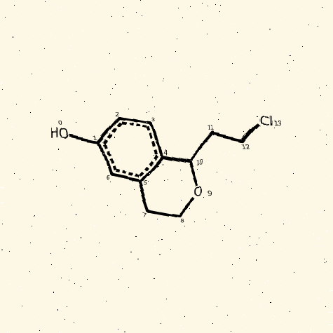 Oc1ccc2c(c1)CCOC2CCCl